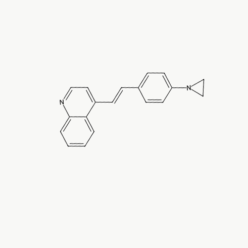 C(=Cc1ccnc2ccccc12)c1ccc(N2CC2)cc1